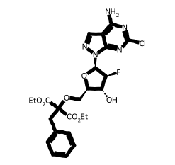 CCOC(=O)C(Cc1ccccc1)(OC[C@H]1O[C@@H](n2ncc3c(N)nc(Cl)nc32)[C@@H](F)[C@@H]1O)C(=O)OCC